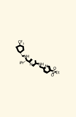 C=C(/N=C\C(C)NCc1ccc(S(=O)(=O)CC)cn1)[C@@H](NC[C@H]1CC[C@H](C(F)(F)F)CC1)C(C)C